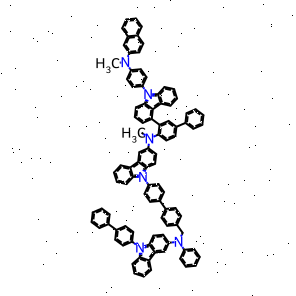 CN(c1ccc(-n2c3ccccc3c3c(-c4cc(-c5ccccc5)ccc4N(C)c4ccc5c(c4)c4ccccc4n5-c4ccc(-c5ccc(CN(c6ccccc6)c6ccc7c(c6)c6ccccc6n7-c6ccc(-c7ccccc7)cc6)cc5)cc4)cccc32)cc1)c1ccc2ccccc2c1